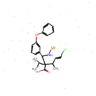 CC(C)C(C(=O)O)(C(C)C=CCl)C(NS)c1cccc(Oc2ccccc2)c1